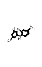 Nc1ccc(Nc2cc(Cl)cc(Cl)c2)c(Br)c1